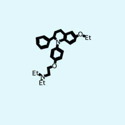 CCOc1ccc2c(c1)CCC(c1ccccc1)N2c1ccc(OCCN(CC)CC)cc1